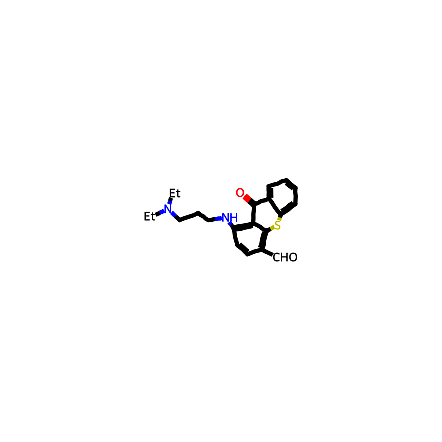 CCN(CC)CCCNc1ccc(C=O)c2sc3ccccc3c(=O)c12